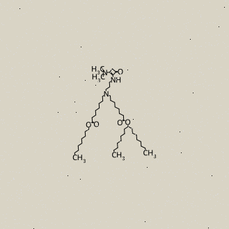 CCCCCCCCCOC(=O)CCCCCCCN(CCCCCCCC(=O)OC(CCCCCCCC)CCCCCCCC)CCCNC1=C(N(C)C)CC1=O